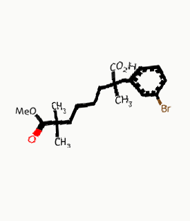 COC(=O)C(C)(C)CCCCC(C)(C(=O)O)c1cccc(Br)c1